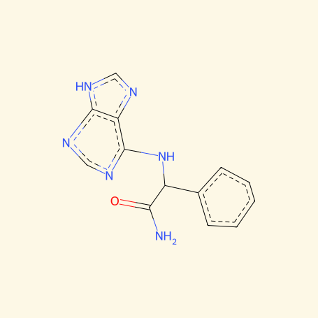 NC(=O)C(Nc1ncnc2[nH]cnc12)c1ccccc1